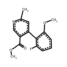 COC(=O)c1cnc(C)cc1-c1c(F)cccc1OC